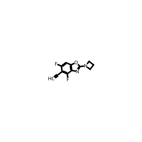 C#Cc1c(F)cc2oc(N3CCC3)nc2c1F